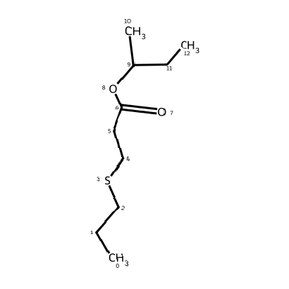 CCCSCCC(=O)OC(C)CC